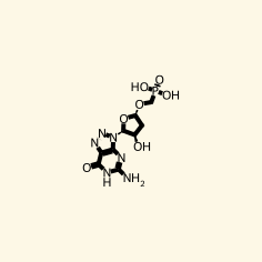 Nc1nc2c(nnn2[C@@H]2O[C@H](OCP(=O)(O)O)C[C@H]2O)c(=O)[nH]1